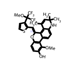 COc1c(O)ccc2c1-c1ccc3c(c1/C(=C/c1sccc1C(OC)(C(F)(F)F)C(F)(F)F)O2)C(C)=CC(C)(C)N3